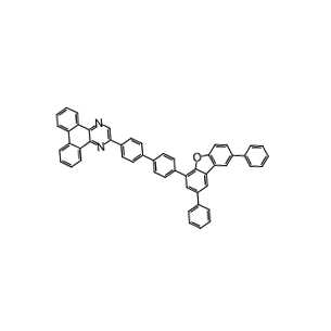 c1ccc(-c2ccc3oc4c(-c5ccc(-c6ccc(-c7cnc8c9ccccc9c9ccccc9c8n7)cc6)cc5)cc(-c5ccccc5)cc4c3c2)cc1